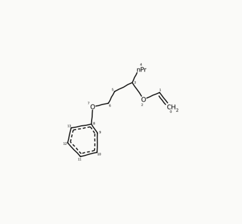 C=COC(CCC)CCOc1ccccc1